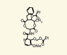 CCC(=O)OCOc1c(OC)ccnc1C(=O)NC1COC(=O)C(Cc2ccccc2)C(OC(=O)C(C)C)C(C)OC1=O